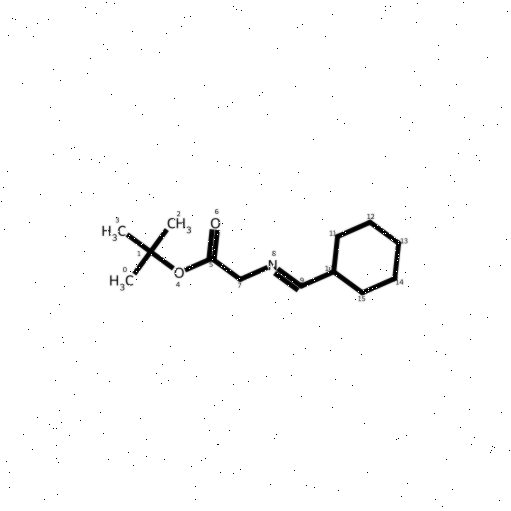 CC(C)(C)OC(=O)CN=CC1CCCCC1